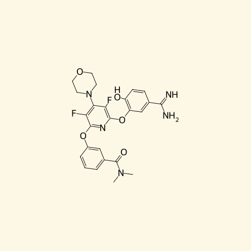 CN(C)C(=O)c1cccc(Oc2nc(Oc3cc(C(=N)N)ccc3O)c(F)c(N3CCOCC3)c2F)c1